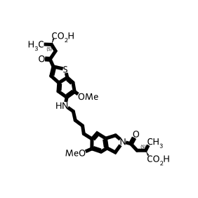 COc1cc2c(cc1CCCCNc1cc3cc(C(=O)C[C@H](C)C(=O)O)sc3cc1OC)CN(C(=O)C[C@H](C)C(=O)O)C2